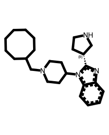 c1ccc2c(c1)nc([C@@H]1CCNC1)n2C1CCN(CC2CCCCCCC2)CC1